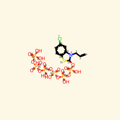 C=CCN1c2cc(Cl)ccc2SC1OP(=O)(O)OP(=O)(O)OP(=O)(O)OP(=O)(O)OP(=O)(O)OP(=O)(O)O